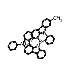 Cc1ccc2c3ccc(C)c4c3n(c2c1)-c1ccccc1B4n1c2ccccc2c2ccc3c(c4ccccc4n3-c3ccccc3)c21